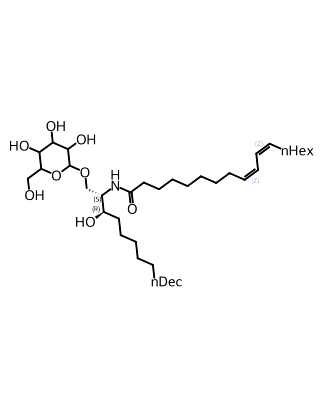 CCCCCC/C=C\C=C/CCCCCCCC(=O)N[C@@H](COC1OC(CO)C(O)C(O)C1O)[C@H](O)CCCCCCCCCCCCCCC